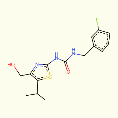 CC(C)c1sc(NC(=O)NCc2cccc(F)c2)nc1CO